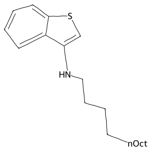 CCCCCCCCCCCCNc1csc2ccccc12